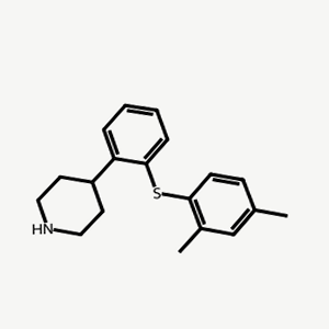 Cc1ccc(Sc2ccccc2C2CCNCC2)c(C)c1